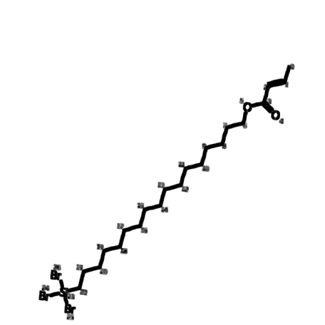 CC=CC(=O)OCCCCCCCCCCCCCCCCC[Si](Br)(Br)Br